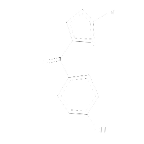 O=C(c1ccc(O)cc1)c1ccc(Br)s1